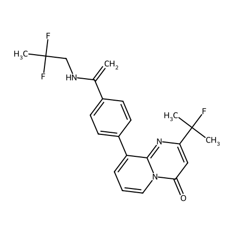 C=C(NCC(C)(F)F)c1ccc(-c2cccn3c(=O)cc(C(C)(C)F)nc23)cc1